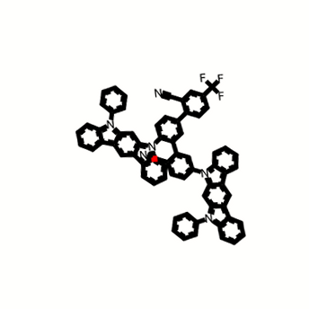 N#Cc1cc(C(F)(F)F)ccc1-c1ccc(-n2c3ccccc3c3cc4c5ccccc5n(-c5ccccc5)c4cc32)c(-c2cc(-n3c4ccccc4c4cc5c6ccccc6n(-c6ccccc6)c5cc43)ccc2C#N)c1